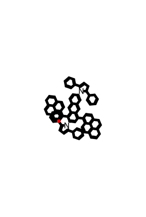 C1=CCC(c2ccc(-c3ccccc3)n2-c2cc(-c3ccc4c5c6c(ccc35)C=CCC6=CC4)c3cc4cc(N5C(c6ccccc6)=CCC5C5C=CC=CC5)ccc4cc3c2-c2ccc3c4c5c(ccc24)C=CCC5=CC3)C=C1